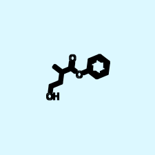 CC(CCO)C(=O)Oc1ccccc1